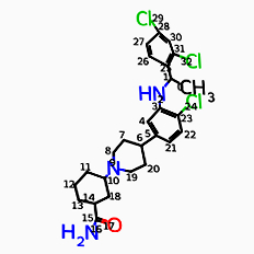 CC(Nc1cc(C2CCN(C3CCCC(C(N)=O)C3)CC2)ccc1Cl)c1ccc(Cl)cc1Cl